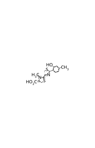 Cc1ccc(C2=N[C@H]([C@H]3SC[C@H](C(=O)O)N3C)CS2)c(O)c1